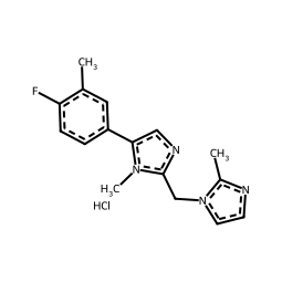 Cc1cc(-c2cnc(Cn3ccnc3C)n2C)ccc1F.Cl